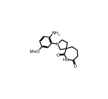 COc1ccc(N)c(N2CCC3(CCCC(=O)NC3=O)C2)c1